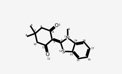 CN1C(=C2C(=O)CC(C)(C)CC2=O)Sc2ccccc21